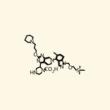 Cc1ccc2c(cnn2COCC[Si](C)(C)C)c1N1C=c2nc(OCCCN3CCCCC3)nc(C3CNCCN3C(=O)O)c2=CC1